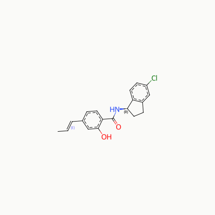 C/C=C/c1ccc(C(=O)N[C@@H]2CCc3cc(Cl)ccc32)c(O)c1